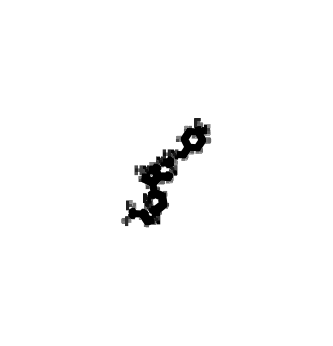 FC(F)c1cnc2ccc(-c3c[nH]c4nc(NCC5CCC(F)(F)CC5)ncc34)nn12